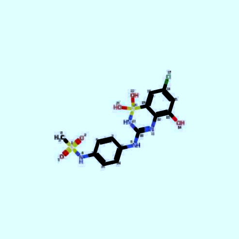 CS(=O)(=O)Nc1ccc(NC2=Nc3c(O)cc(Cl)cc3S(O)(O)N2)cc1